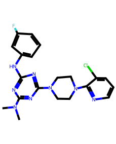 CN(C)c1nc(Nc2cccc(F)c2)nc(N2CCN(c3ncccc3Cl)CC2)n1